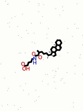 CC(CCC[C@@H](C)[C@H]1CCC2C3CC=C4CCCC[C@]4(C)C3CC[C@@]21C)C(=O)C(=O)NCCCCC(=O)O